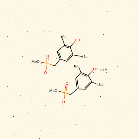 COP(=O)([O-])Cc1cc(C(C)(C)C)c(O)c(C(C)(C)C)c1.COP(=O)([O-])Cc1cc(C(C)(C)C)c(O)c(C(C)(C)C)c1.[Be+2]